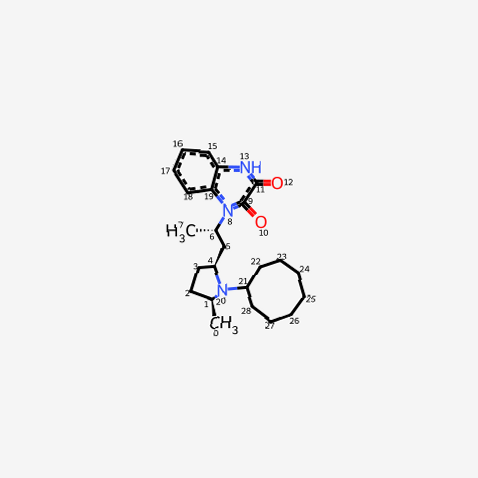 C[C@H]1CC[C@@H](C[C@H](C)n2c(=O)c(=O)[nH]c3ccccc32)N1C1CCCCCCC1